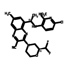 Cc1cc([C@@H](C)Nc2ccc(Cl)nc2C(=O)O)c2nc(N3CCO[C@H](C(F)F)C3)c(C#N)nc2c1